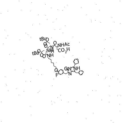 CC(=O)N[C@@H](CC(=O)O)C(=O)N[C@@H](CC(=O)OC(C)(C)C)C(=O)N[C@@H](CC(=O)OC(C)(C)C)C(=O)NCCCCCCOc1ccc(Cc2nc3c(Cc4ccccc4)[nH]c(-c4ccccc4)cn-3c2=O)cc1F